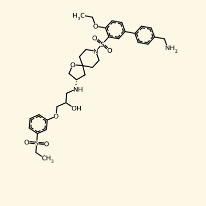 CCOc1ccc(-c2ccc(CN)cc2)cc1S(=O)(=O)N1CCC2(CC1)C[C@H](NCC(O)COc1cccc(S(=O)(=O)CC)c1)CO2